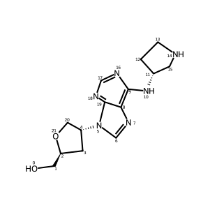 OC[C@@H]1C[C@@H](n2cnc3c(N[C@@H]4CCNC4)ncnc32)CO1